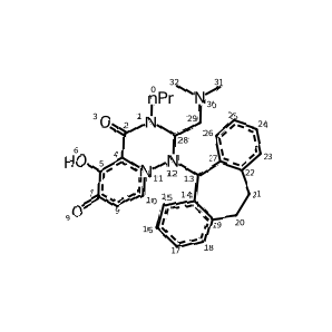 CCCN1C(=O)c2c(O)c(=O)ccn2N(C2c3ccccc3CCc3ccccc32)C1CN(C)C